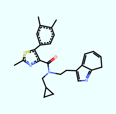 Cc1nc(C(=O)N(CCC2=CN=C3CC=CC=C23)CC2CC2)c(-c2ccc(C)c(C)c2)s1